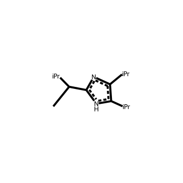 CC(C)c1nc(C(C)C(C)C)[nH]c1C(C)C